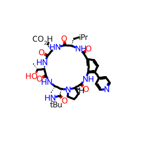 CC(C)C[C@@H]1NC(=O)c2ccc(-c3ccncc3)c(c2)NC(=O)[C@@H]2CCCN2[C@H](C(=O)NC(C)(C)C)[C@H](C)NC(=O)[C@H]([C@@H](C)O)NC(=O)[C@H](CC(=O)O)NC1=O